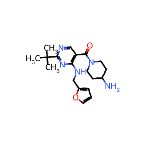 CC(C)(C)c1ncc(C(=O)N2CCC(N)CC2)c(NCc2ccco2)n1